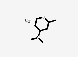 CC1CC(N(C)C)CCO1.Cl